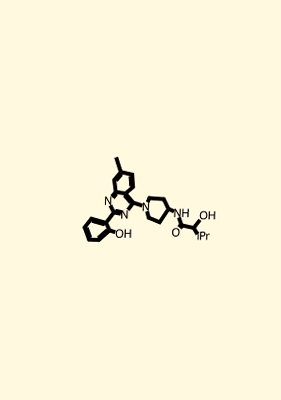 Cc1ccc2c(N3CCC(NC(=O)C(O)C(C)C)CC3)nc(-c3ccccc3O)nc2c1